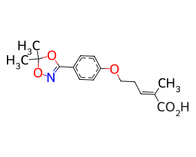 CC(=CCCOc1ccc(C2=NOC(C)(C)O2)cc1)C(=O)O